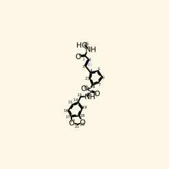 O=C(/C=C/c1cccc(S(=O)(=O)NCc2ccc3c(c2)OCO3)c1)NO